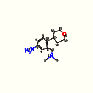 CN(C)Cc1cc(N)ccc1C1CCOCC1